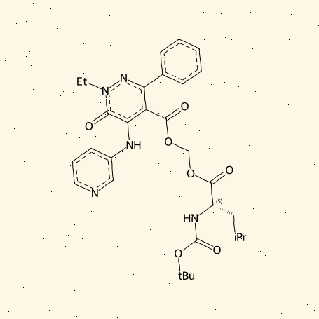 CCn1nc(-c2ccccc2)c(C(=O)OCOC(=O)[C@H](CC(C)C)NC(=O)OC(C)(C)C)c(Nc2cccnc2)c1=O